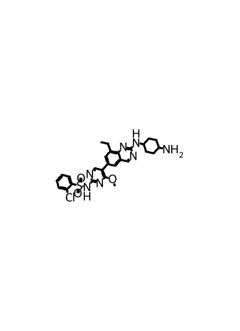 CCc1cc(-c2cnc(NS(=O)(=O)c3ccccc3Cl)nc2OC)cc2cnc(NC3CCC(N)CC3)nc12